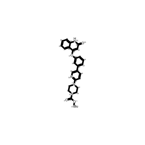 CC(C)(C)OC(=O)N1CCN(c2ccc(-c3cccc(Oc4cc(=O)[nH]c5ccccc45)c3)cn2)CC1